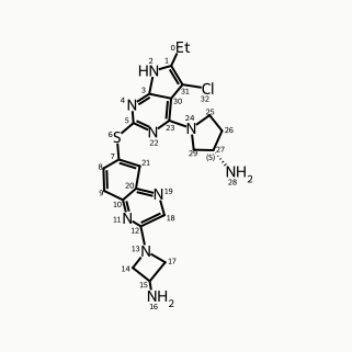 CCc1[nH]c2nc(Sc3ccc4nc(N5CC(N)C5)cnc4c3)nc(N3CC[C@H](N)C3)c2c1Cl